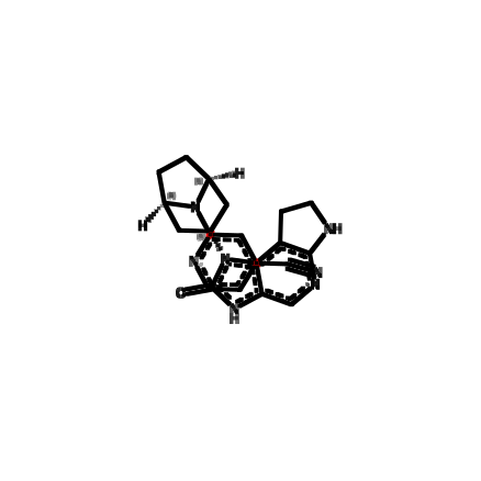 N#Cc1ccnc(N2[C@@H]3CC[C@H]2C[C@H](n2c(=O)[nH]c4cnc5c(c42)CCN5)C3)c1